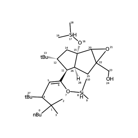 CCCCC(C)(C)C(C=C(O[SiH](C)C)[C@H]1[C@H](C(C)(C)C)C[C@@]2(O[SiH](C)C)C3OC3(CO)C[C@@H]12)C(C)(C)C